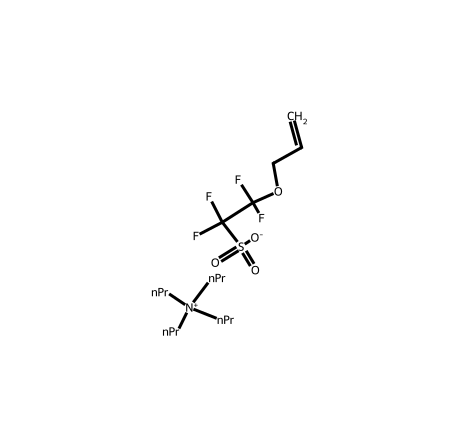 C=CCOC(F)(F)C(F)(F)S(=O)(=O)[O-].CCC[N+](CCC)(CCC)CCC